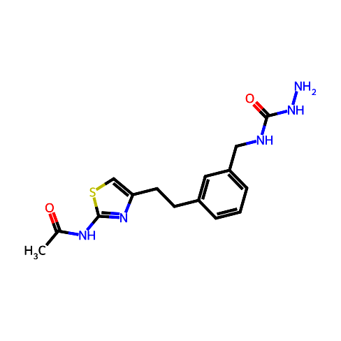 CC(=O)Nc1nc(CCc2cccc(CNC(=O)NN)c2)cs1